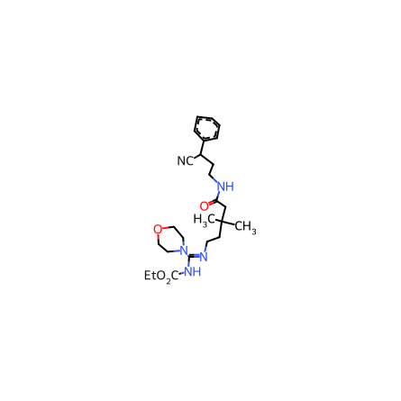 CCOC(=O)NC(=NCCC(C)(C)CC(=O)NCCC(C#N)c1ccccc1)N1CCOCC1